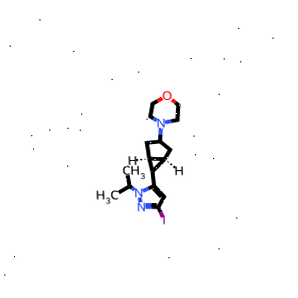 CC(C)n1nc(I)cc1C1[C@H]2CC(N3CCOCC3)C[C@@H]12